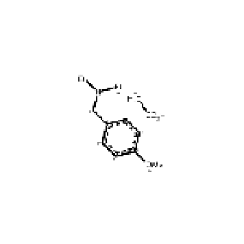 CC(=O)O.CCN(CC)Cc1ccc(OC)cc1